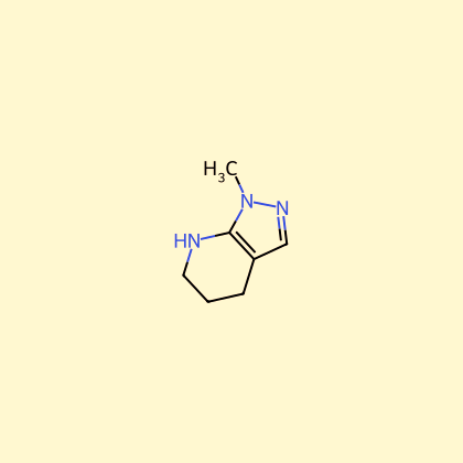 Cn1ncc2c1NCCC2